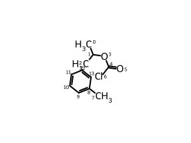 CC(C)OC(=O)Cl.Cc1ccccc1